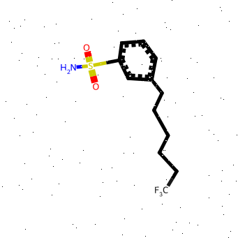 NS(=O)(=O)c1cccc(CCCCCC(F)(F)F)c1